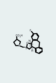 O=C(O)C1CCN(C[C@@H]2C[C@@H]3c4ccccc4Cc4ccc(F)cc4[C@@H]3O2)C1